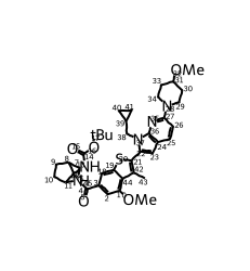 COc1cc(C(=O)N2CC3CCC2[C@@H]3NC(=O)OC(C)(C)C)cc2sc(-c3cc4ccc(N5CCC(OC)CC5)nc4n3CC3CC3)c(C)c12